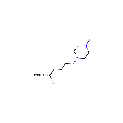 CCCCC[C@@H](O)CCCCN1CCN(C)CC1